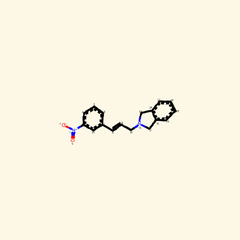 O=[N+]([O-])c1cccc(C=CCN2Cc3ccccc3C2)c1